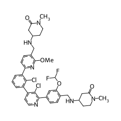 COc1nc(-c2cccc(-c3ccnc(-c4ccc(CNC5CCN(C)C(=O)C5)c(OC(F)F)c4)c3Cl)c2Cl)ccc1CNC1CCN(C)C(=O)C1